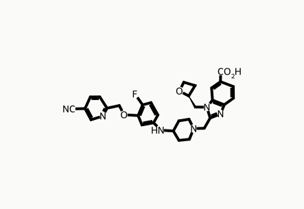 N#Cc1ccc(COc2cc(NC3CCN(Cc4nc5ccc(C(=O)O)cc5n4C[C@@H]4CCO4)CC3)ccc2F)nc1